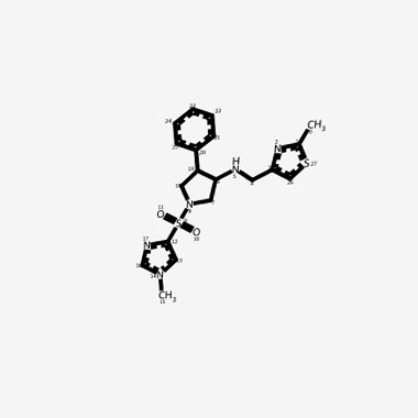 Cc1nc(CNC2CN(S(=O)(=O)c3cn(C)cn3)CC2c2ccccc2)cs1